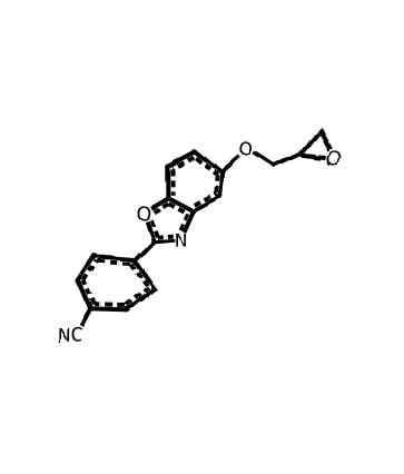 N#Cc1ccc(-c2nc3cc(OCC4CO4)ccc3o2)cc1